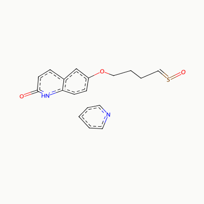 O=S=CCCCOc1ccc2[nH]c(=O)ccc2c1.c1ccncc1